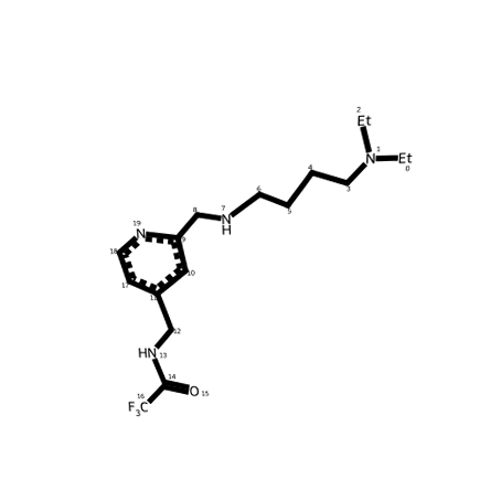 CCN(CC)CCCCNCc1cc(CNC(=O)C(F)(F)F)ccn1